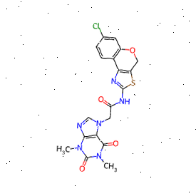 Cn1c(=O)c2c(ncn2CC(=O)Nc2nc3c(s2)COc2cc(Cl)ccc2-3)n(C)c1=O